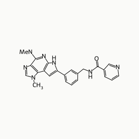 CNc1nc2[nH]c(-c3cccc(CNC(=O)c4cccnc4)c3)cc2c2c1ncn2C